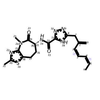 C=C(/C=C\C=C/C)Cc1nnc(C(=O)N[C@@H]2CCc3sc(C)nc3N(C)C2=O)[nH]1